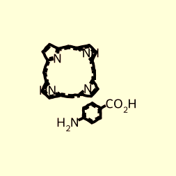 C1=Cc2cc3ccc(cc4nc(cc5ccc(cc1n2)[nH]5)C=C4)[nH]3.Nc1ccc(C(=O)O)cc1